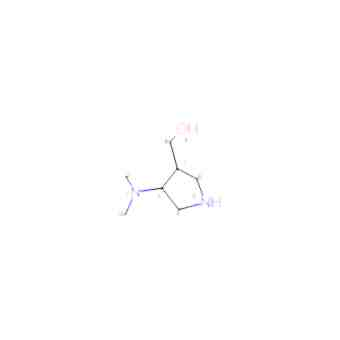 CN(C)C1CNCC1CO